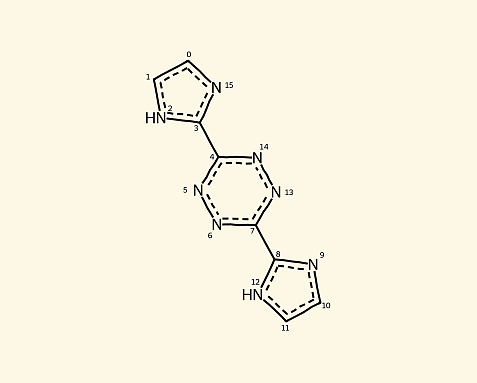 c1c[nH]c(-c2nnc(-c3ncc[nH]3)nn2)n1